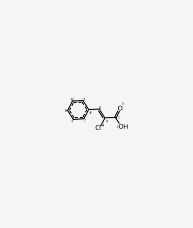 O=C(O)C(Cl)=Cc1ccccc1